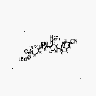 CC(C)Nc1cc(-c2ccc3cc(C#N)cnn23)ncc1-c1cn(C2CCN(C(=O)OC(C)(C)C)CC2)nn1